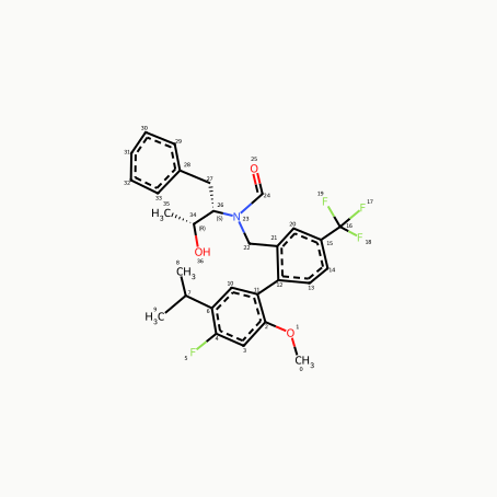 COc1cc(F)c(C(C)C)cc1-c1ccc(C(F)(F)F)cc1CN(C=O)[C@@H](Cc1ccccc1)[C@@H](C)O